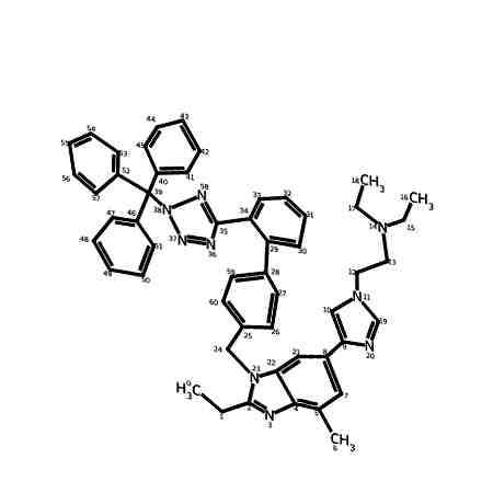 CCc1nc2c(C)cc(-c3cn(CCN(CC)CC)cn3)cc2n1Cc1ccc(-c2ccccc2-c2nnn(C(c3ccccc3)(c3ccccc3)c3ccccc3)n2)cc1